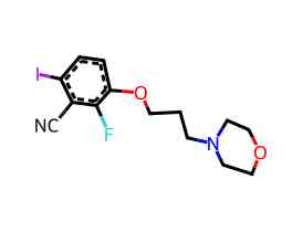 N#Cc1c(I)ccc(OCCCN2CCOCC2)c1F